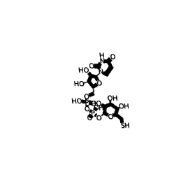 O=c1ccn([C@@H]2O[C@H](COP(=O)(O)OP(=O)(O)O[C@H]3OC(CS)[C@@H](O)[C@H](O)C3O)[C@H](O)C2O)c(=O)[nH]1